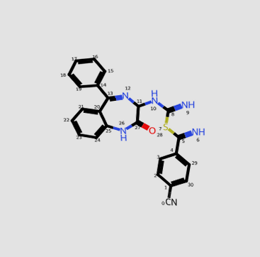 N#Cc1ccc(C(=N)SC(=N)NC2N=C(c3ccccc3)c3ccccc3NC2=O)cc1